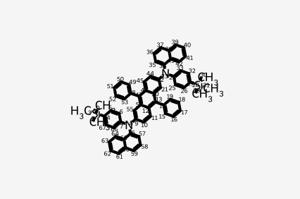 C[Si](C)(C)c1ccc(N(c2ccc3c(-c4ccccc4)c4cc(N(c5ccc([Si](C)(C)C)cc5)c5cccc6ccccc56)ccc4c(-c4ccccc4)c3c2)c2cccc3ccccc23)cc1